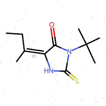 CC/C(C)=C1/NC(=S)N(C(C)(C)C)C1=O